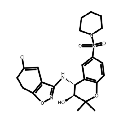 CC1(C)Oc2ccc(S(=O)(=O)N3CCCCC3)cc2[C@@H](Nc2noc3c2C=C(Cl)CC3)[C@@H]1O